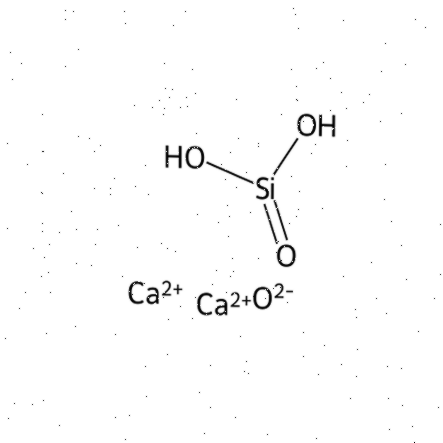 O=[Si](O)O.[Ca+2].[Ca+2].[O-2]